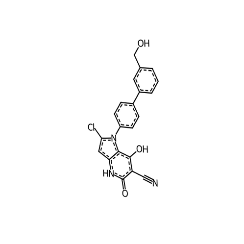 N#Cc1c(O)c2c(cc(Cl)n2-c2ccc(-c3cccc(CO)c3)cc2)[nH]c1=O